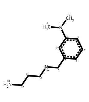 CN(C)c1cccc(CNCCCN)c1